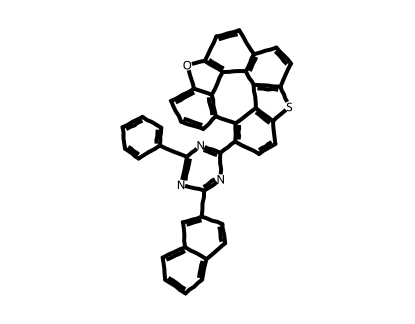 c1ccc(-c2nc(-c3ccc4ccccc4c3)nc(-c3ccc4sc5ccc6ccc7oc8cccc9c8c7c6c5c4c3-9)n2)cc1